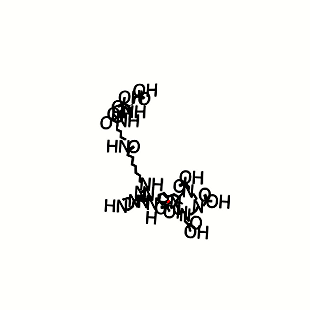 O=C(O)CC[C@H](NC(=O)N[C@@H](CCCCNC(=O)CCCCCCCNc1nc(Nc2ccc(CC3CN(CC(=O)O)CCN(CC(=O)O)CCN(CC(=O)O)CCN3CC(=O)O)cc2)nc(N2CCNCC2)n1)C(=O)O)C(=O)O